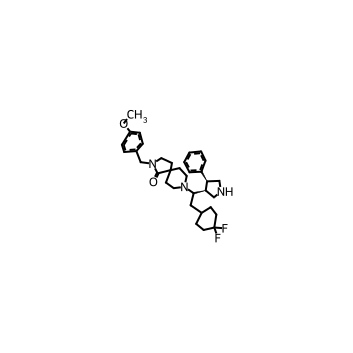 COc1ccc(CN2CCC3(CCN(C(CC4CCC(F)(F)CC4)[C@@H]4CNC[C@@H]4c4ccccc4)CC3)C2=O)cc1